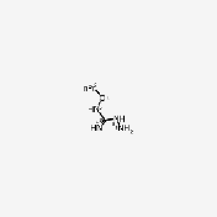 CCCONC(=N)NN